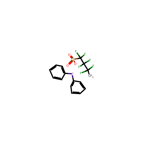 O=S(=O)([O-])C(F)(F)C(F)(F)C(F)(F)C(F)(F)F.c1ccc([I+]c2ccccc2)cc1